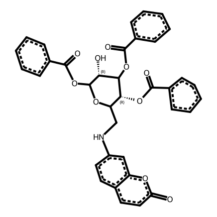 O=C(OC1OC(CNc2ccc3ccc(=O)oc3c2)[C@@H](OC(=O)c2ccccc2)C(OC(=O)c2ccccc2)[C@H]1O)c1ccccc1